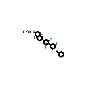 CCCCCC1CC[C@@H]2C[C@H](c3cc(F)c(-c4ccc(OCc5ccccc5)c(F)c4)c(F)c3)CC[C@@H]2C1